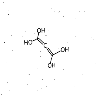 OC(O)=C=C(O)O